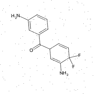 NC1=CC(C(=O)c2cccc(N)c2)C=CC1(F)F